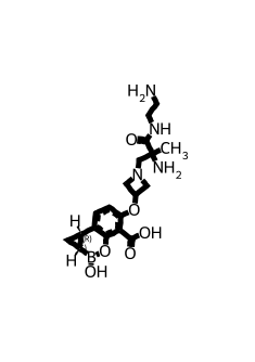 CC(N)(CN1CC(Oc2ccc3c(c2C(=O)O)OB(O)[C@H]2C[C@@H]32)C1)C(=O)NCCN